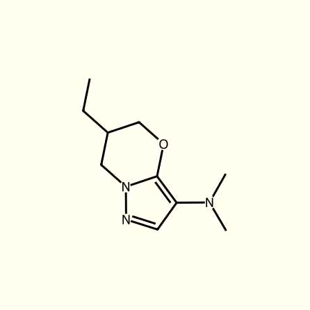 CCC1COc2c(N(C)C)cnn2C1